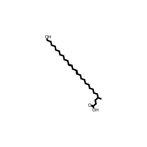 CC(CCCCCCCCC/C=C/C/C=C/CCCCCCCCCCO)CCC(=O)O